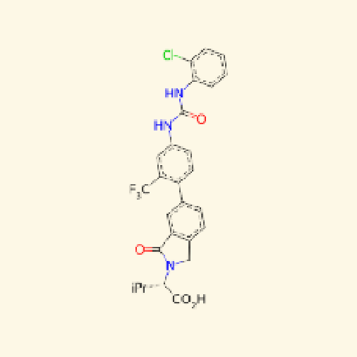 CC(C)[C@@H](C(=O)O)N1Cc2ccc(-c3ccc(NC(=O)Nc4ccccc4Cl)cc3C(F)(F)F)cc2C1=O